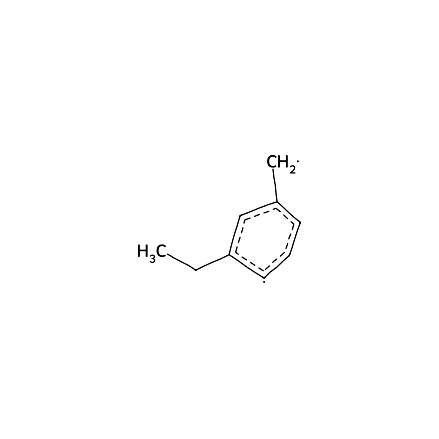 [CH2]c1cc[c]c(CC)c1